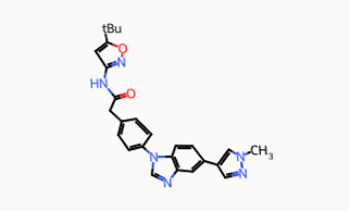 Cn1cc(-c2ccc3c(c2)ncn3-c2ccc(CC(=O)Nc3cc(C(C)(C)C)on3)cc2)cn1